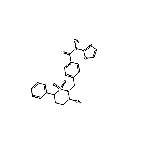 C[C@H]1CCC(c2ccccc2)S(=O)(=O)N1Cc1ccc(C(=O)N(C)c2ncco2)cc1